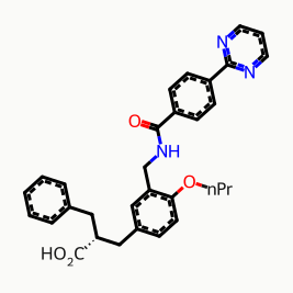 CCCOc1ccc(C[C@@H](Cc2ccccc2)C(=O)O)cc1CNC(=O)c1ccc(-c2ncccn2)cc1